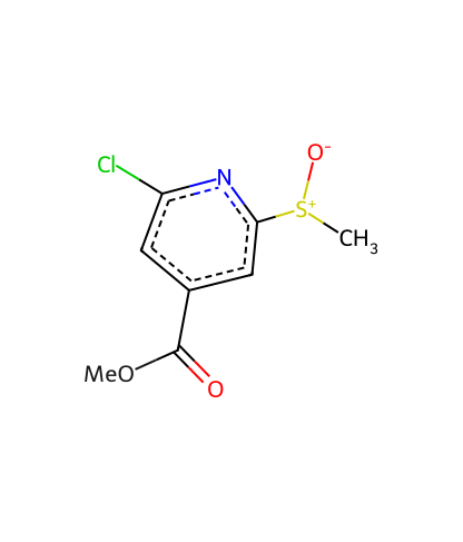 COC(=O)c1cc(Cl)nc([S+](C)[O-])c1